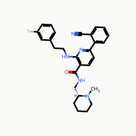 CN1CCCC[C@@H]1CNC(=O)c1ccc(-c2ccccc2C#N)nc1NCCc1cccc(F)c1